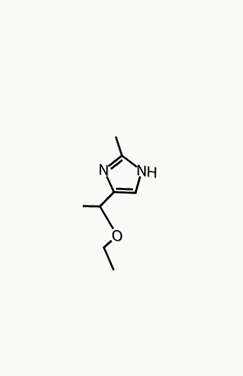 CCOC(C)c1c[nH]c(C)n1